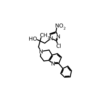 CC(O)(CN1CCc2nc(-c3ccccc3)ccc2C1)Cn1cc([N+](=O)[O-])nc1Cl